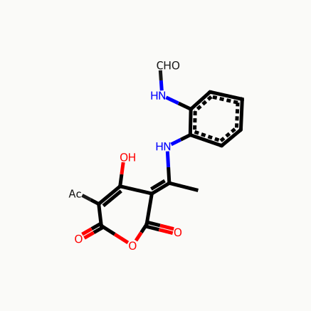 CC(=O)C1=C(O)C(=C(C)Nc2ccccc2NC=O)C(=O)OC1=O